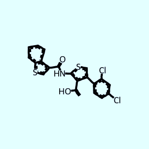 C=C(O)c1c(-c2ccc(Cl)cc2Cl)csc1NC(=O)c1csc2ccccc12